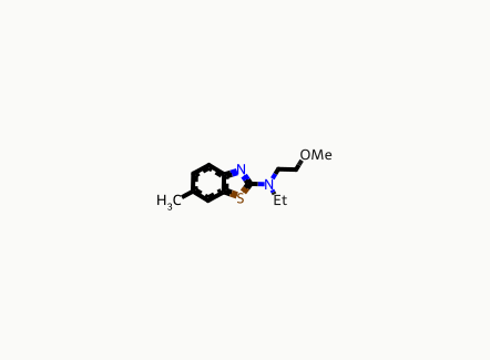 CCN(CCOC)c1nc2ccc(C)cc2s1